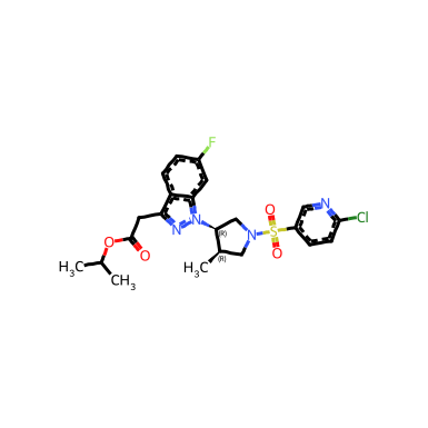 CC(C)OC(=O)Cc1nn([C@H]2CN(S(=O)(=O)c3ccc(Cl)nc3)C[C@H]2C)c2cc(F)ccc12